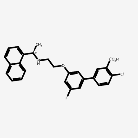 C[C@@H](NCCOc1cc(F)cc(-c2ccc(Cl)c(C(=O)O)c2)c1)c1cccc2ccccc12